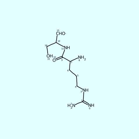 N=C(N)NCCCC(N)C(=O)NC([C]=O)CO